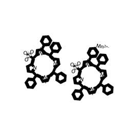 O=S(=O)([O-])c1c2nc(c(-c3ccccc3)c3ccc([nH]3)c(-c3ccccc3)c3nc(c(-c4ccccc4)c4[nH]c1cc4-c1ccccc1)C=C3)C=C2.O=S(=O)([O-])c1c2nc(c(-c3ccccc3)c3ccc([nH]3)c(-c3ccccc3)c3nc(c(-c4ccccc4)c4[nH]c1cc4-c1ccccc1)C=C3)C=C2.[Mn+2]